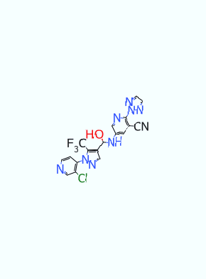 N#Cc1cc(NC(O)c2cnn(-c3ccncc3Cl)c2C(F)(F)F)cnc1-n1nccn1